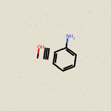 C#C.CO.Nc1ccccc1